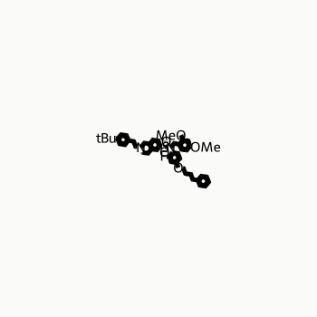 COc1ccc(CN(c2ccc(OCCCCc3ccccc3)cc2F)S(=O)(=O)c2ccc3c(c2)CCN(CCc2ccc(C(C)(C)C)cc2)C3)c(OC)c1